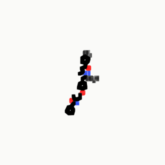 C/C(=C/C(=O)c1ccc(C(F)(F)F)cc1)NC(Cc1ccc(OCCc2nc(-c3ccccc3)oc2C)cc1)C(=O)O